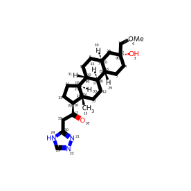 COC[C@@]1(O)CC[C@H]2[C@@H](CC[C@@H]3[C@@H]2CC[C@]2(C)[C@@H](C(=O)Cc4nnc[nH]4)CC[C@@H]32)C1